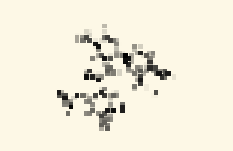 C[C@H]1CN(c2cc(F)c(Br)cc2NC(=O)c2c[nH]c(=O)cc2CC(F)F)CCN1C